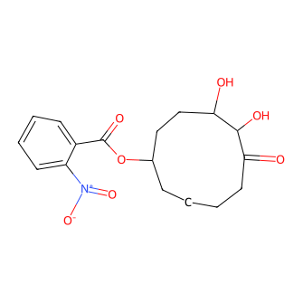 O=C(OC1CCCCC(=O)C(O)C(O)CC1)c1ccccc1[N+](=O)[O-]